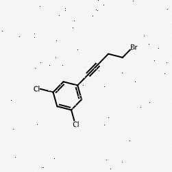 Clc1cc(Cl)cc(C#CCCBr)c1